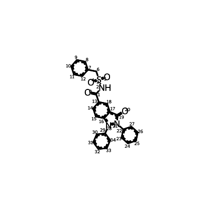 O=C(NS(=O)(=O)Cc1ccccc1)c1ccc2c(c1)c(=O)n(-c1ccccc1)n2-c1ccccc1